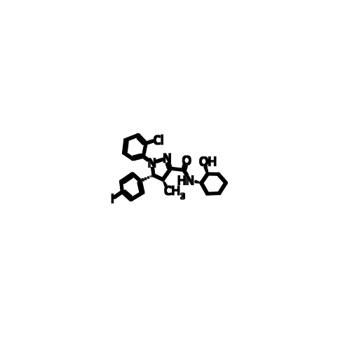 C[C@H]1C(C(=O)N[C@H]2CCCC[C@@H]2O)=NN(c2ccccc2Cl)[C@H]1c1ccc(I)cc1